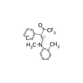 Cc1ccccc1N(C)/C=C(/C(=O)C(F)(F)F)c1ccccc1